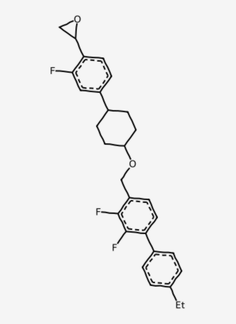 CCc1ccc(-c2ccc(COC3CCC(c4ccc(C5CO5)c(F)c4)CC3)c(F)c2F)cc1